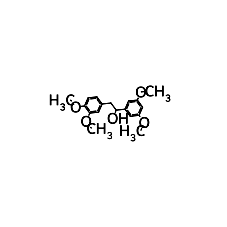 COc1cc(OC)cc(C(O)Cc2ccc(OC)c(OC)c2)c1